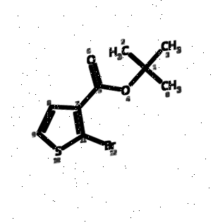 CC(C)(C)OC(=O)c1ccsc1Br